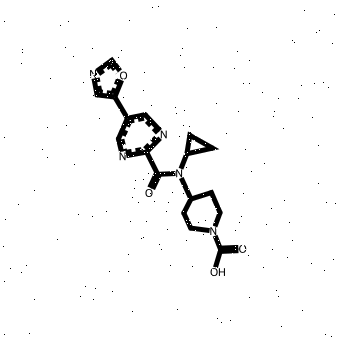 O=C(O)N1CCC(N(C(=O)c2ncc(-c3cnco3)cn2)C2CC2)CC1